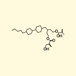 C=C(CO)C(=O)OCCC(CCOC(O)C(=C)C)CC1CCC(C2CCC(CCCCC)CC2)CC1